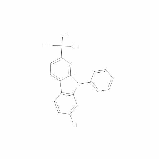 Cc1ccc2c3ccc(C(C)(C)C)cc3n(-c3ccccc3)c2c1